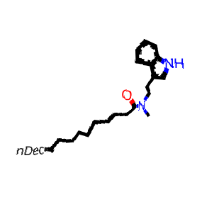 CCCCCCCCCCCCCCCCCCCC(=O)N(C)CCc1c[nH]c2ccccc12